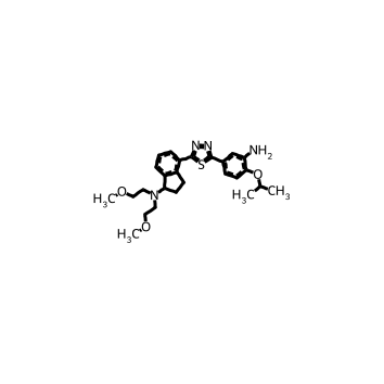 COCCN(CCOC)C1CCc2c(-c3nnc(-c4ccc(OC(C)C)c(N)c4)s3)cccc21